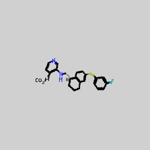 O=C(O)c1ccncc1NC[C@H]1CCCc2cc(Sc3cccc(F)c3)ccc21